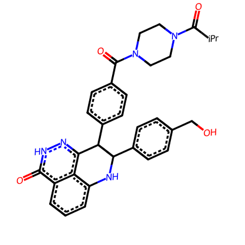 CC(C)C(=O)N1CCN(C(=O)c2ccc(C3c4n[nH]c(=O)c5cccc(c45)NC3c3ccc(CO)cc3)cc2)CC1